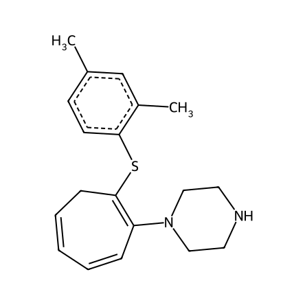 Cc1ccc(SC2=C(N3CCNCC3)C=CC=CC2)c(C)c1